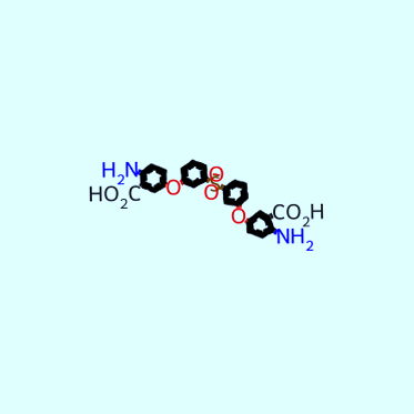 Nc1ccc(Oc2cccc(S(=O)(=O)c3cccc(Oc4ccc(N)c(C(=O)O)c4)c3)c2)cc1C(=O)O